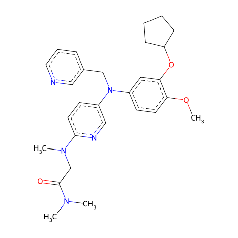 COc1ccc(N(Cc2cccnc2)c2ccc(N(C)CC(=O)N(C)C)nc2)cc1OC1CCCC1